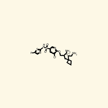 C[C@@H](N)C(COc1ncc(S(=O)(=O)Nc2ncc(F)s2)cc1Cl)CC1(CCN)CCC1